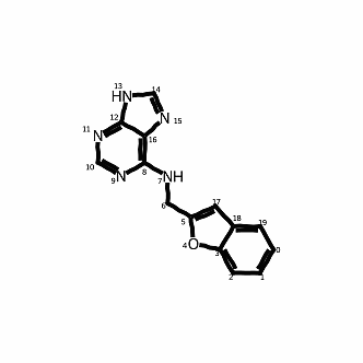 c1ccc2oc(CNc3ncnc4[nH]cnc34)cc2c1